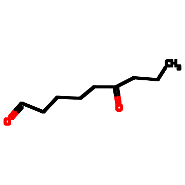 CCCC(=O)CCCCC=O